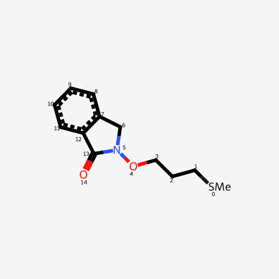 CSCCCON1Cc2ccccc2C1=O